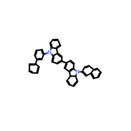 C1=CC2c3cc(-c4ccc5c(c4)c4ccccc4n5-c4cccc(-c5ccccc5)c4)ccc3N(c3ccc4ccccc4c3)C2C=C1